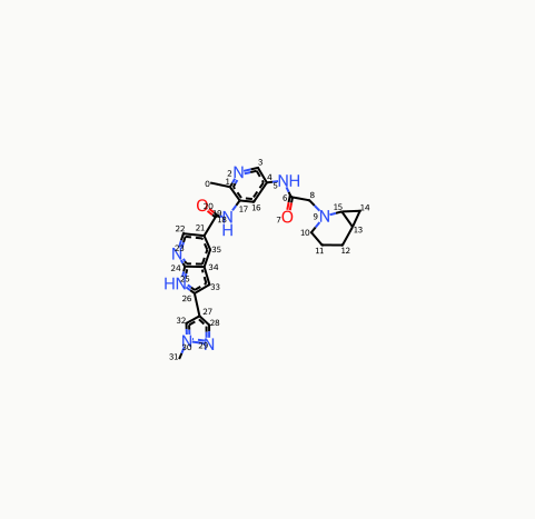 Cc1ncc(NC(=O)CN2CCCC3CC32)cc1NC(=O)c1cnc2[nH]c(-c3cnn(C)c3)cc2c1